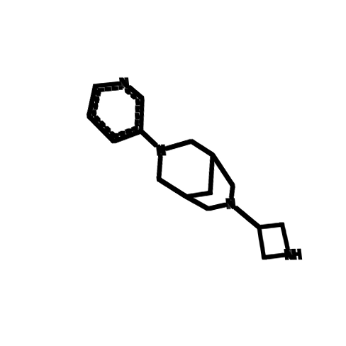 c1cncc(N2CC3CC(C2)CN(C2CNC2)C3)c1